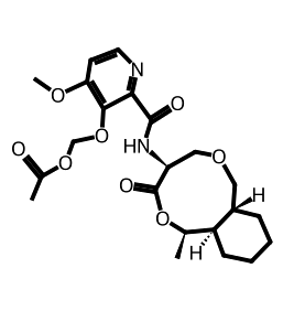 COc1ccnc(C(=O)N[C@H]2COC[C@@H]3CCCC[C@H]3[C@@H](C)OC2=O)c1OCOC(C)=O